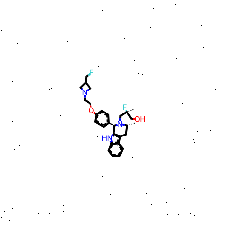 C[C@@H]1Cc2c([nH]c3ccccc23)[C@@H](c2ccc(OCCN3CC(CF)C3)cc2)N1C[C@@](C)(F)CO